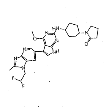 COc1nc(N[C@H]2CC[C@@H](N3CCCC3=O)CC2)nc2[nH]cc(-c3cnc4nc(C)n(CC(F)F)c4c3)c12